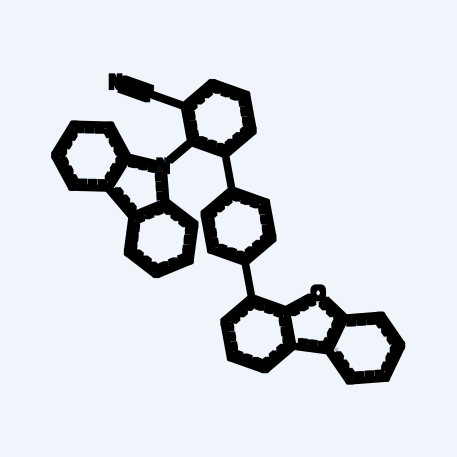 N#Cc1cccc(-c2ccc(-c3cccc4c3oc3ccccc34)cc2)c1-n1c2ccccc2c2ccccc21